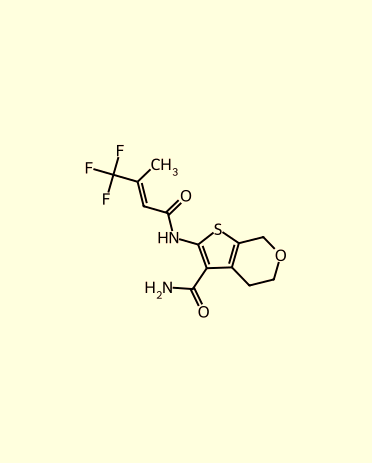 C/C(=C\C(=O)Nc1sc2c(c1C(N)=O)CCOC2)C(F)(F)F